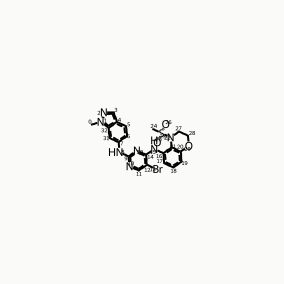 Cn1ncc2ccc(Nc3ncc(Br)c(Nc4cccc5c4N(S(C)(=O)=O)CCO5)n3)cc21